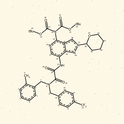 Cc1ccccc1CN(Cc1ccc(C(F)(F)F)cn1)C(=O)C(=O)Nc1cnc(N(C(=O)OC(C)(C)C)C(=O)OC(C)(C)C)c2cn(C3CCCCO3)nc12